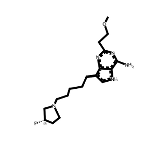 COCCc1nc(N)c2[nH]cc(CCCCCN3CC[C@H](F)C3)c2n1